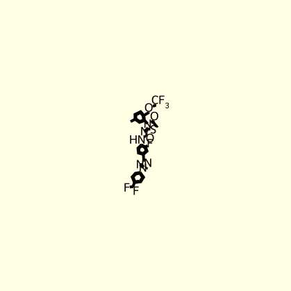 Cc1ccc(COCC(F)(F)F)c(N2C(=O)CSC2=NC(=O)Nc2ccc(-c3ncn(-c4ccc(C(F)F)cc4)n3)cc2F)c1